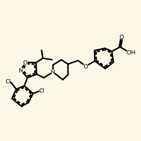 CC(C)c1onc(-c2c(Cl)cccc2Cl)c1CN1CCC(COc2ccc(C(=O)O)cc2)CC1